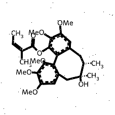 C/C=C(/C)C(=O)Oc1c(OC)c(OC)cc2c1-c1c(cc(OC)c(OC)c1OC)C[C@](C)(O)[C@@H](C)C2